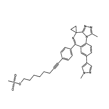 Cc1nnc2n1-c1ccc(-c3cnn(C)c3)cc1C(c1ccc(C#CCCCCCCOS(C)(=O)=O)cc1)=NC21CC1